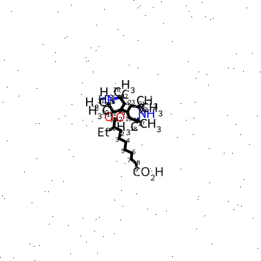 CCC(CCCCCCCC(=O)O)C(=O)OC1(C2CC(C)(C)NC(C)(C)C2)CC(C)(C)NC(C)(C)C1